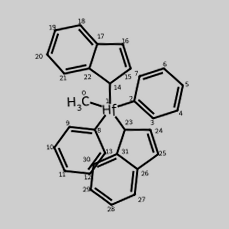 [CH3][Hf]([c]1ccccc1)([c]1ccccc1)([CH]1C=Cc2ccccc21)[CH]1C=Cc2ccccc21